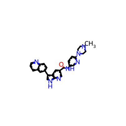 CN1CCN(c2ccc(NC(=O)c3cnc4[nH]cc(-c5ccc6ncccc6c5)c4c3)cn2)CC1